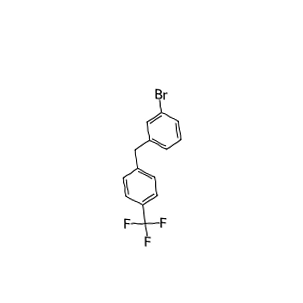 FC(F)(F)c1ccc(Cc2cccc(Br)c2)cc1